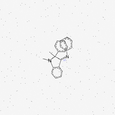 CN1c2ccccc2/C(=N/c2ccccc2)C1(C)c1ccccc1